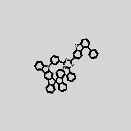 c1ccc(-c2nc(-c3cccc(-n4c5ccccc5c5cc6c(cc54)C4(c5ccccc5-c5ccccc54)c4ccccc4-6)c3)nc(-c3ccc4c(c3)oc3cccc(-c5ccccc5)c34)n2)cc1